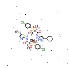 CC(C)(C)c1cnc(NC(=O)C(C)(C)S(=O)(=O)c2ccc(Cl)cc2)s1.Cn1nc(C2CCCCC2)cc1NC(=O)C(C)(C)S(=O)(=O)c1ccc(Cl)cc1